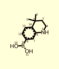 CC1(C)CCNc2cc(B(O)O)ccc21